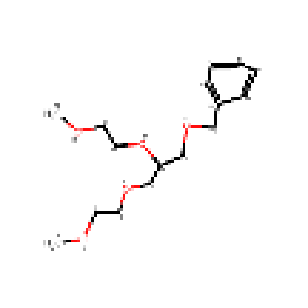 COCCOCC(COCc1ccccc1)OCCOC